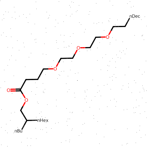 CCCCCCCCCCCCOCCOCCOCCCC(=O)OCC(CCCC)CCCCCC